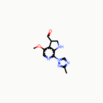 COc1cnc(-n2cnc(C)n2)c2c1C(C=O)CN2